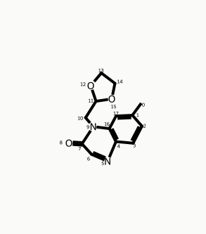 Cc1ccc2ncc(=O)n(CC3OCCO3)c2c1